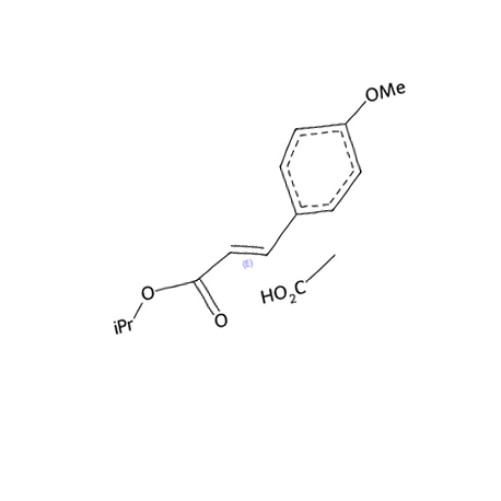 CC(=O)O.COc1ccc(/C=C/C(=O)OC(C)C)cc1